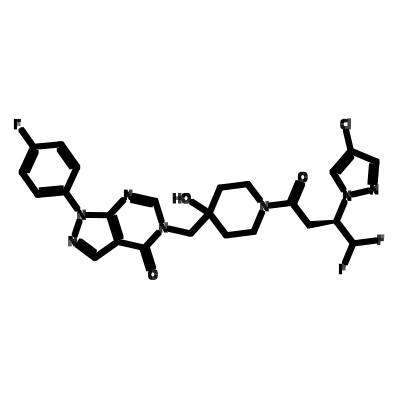 O=C(C[C@H](C(F)F)n1cc(Cl)cn1)N1CCC(O)(Cn2cnc3c(cnn3-c3ccc(F)cc3)c2=O)CC1